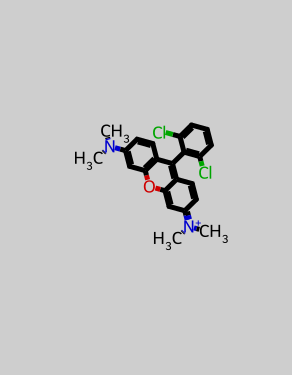 CN(C)c1ccc2c(-c3c(Cl)cccc3Cl)c3ccc(=[N+](C)C)cc-3oc2c1